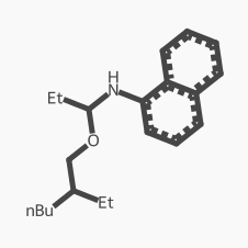 CCCCC(CC)COC(CC)Nc1cccc2ccccc12